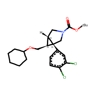 CC(C)(C)OC(=O)N1C[C@H]2[C@H](COC3CCCCC3)[C@@]2(c2ccc(Cl)c(Cl)c2)C1